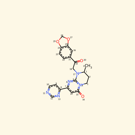 CC1CCn2c(nc(-c3ccncn3)cc2=O)N1CC(=O)c1ccc2c(c1)OCO2